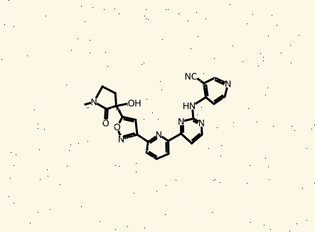 CN1CCC(O)(c2cc(-c3cccc(-c4ccnc(Nc5ccncc5C#N)n4)n3)no2)C1=O